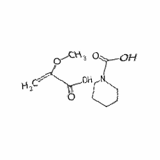 C=C(OC)C(=O)O.O=C(O)N1CCCCC1